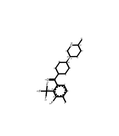 Cc1ccc(C(=O)C2CCC([C@@H]3CCC(C)OC3)CC2)c(C(F)(F)F)c1F